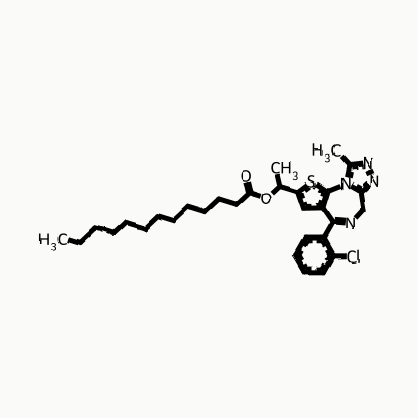 CCCCCCCCCCCCC(=O)OC(C)c1cc2c(s1)-n1c(C)nnc1CN=C2c1ccccc1Cl